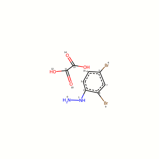 NNc1ccc(Br)cc1Br.O=C(O)C(=O)O